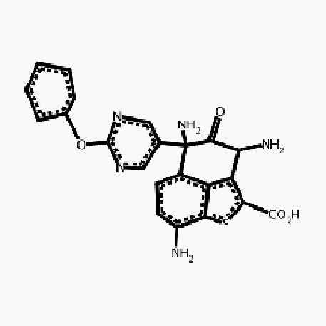 Nc1ccc2c3c(c(C(=O)O)sc13)C(N)C(=O)C2(N)c1cnc(Oc2ccccc2)nc1